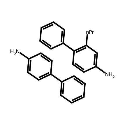 CCCc1cc(N)ccc1-c1ccccc1.Nc1ccc(-c2ccccc2)cc1